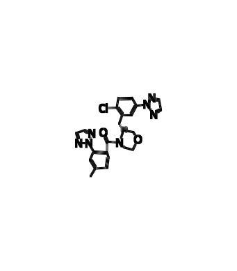 Cc1ccc(C(=O)N2CCOC[C@H]2Cc2cc(-n3nccn3)ccc2Cl)c(-n2nccn2)c1